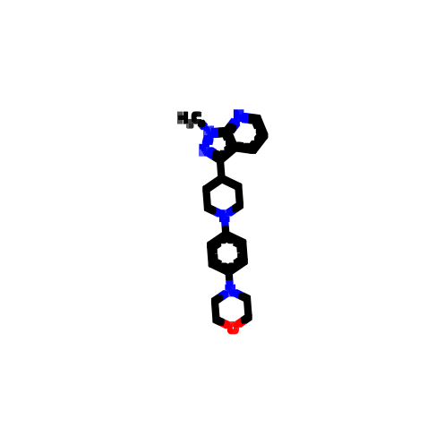 Cn1nc(C2CCN(c3ccc(N4CCOCC4)cc3)CC2)c2cccnc21